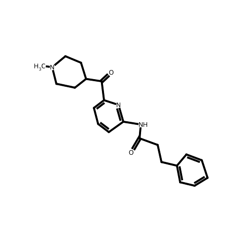 CN1CCC(C(=O)c2cccc(NC(=O)CCc3ccccc3)n2)CC1